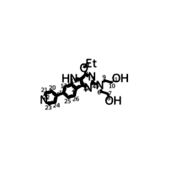 CCOc1nc(N(CCO)CCO)nc2c1[nH]c1cc(-c3ccncc3)ccc12